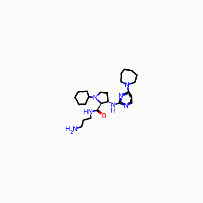 NCCCNC(=O)[C@@H]1[C@@H](Nc2nccc(N3CCCCCC3)n2)CCN1C1CCCCC1